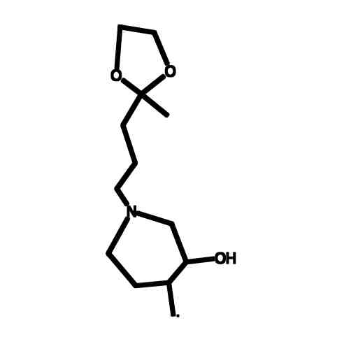 [CH2]C1CCN(CCCC2(C)OCCO2)CC1O